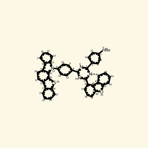 CCCCc1ccc(-c2nc(-c3ccc(-n4c5ccccc5c5ccc6c7ccccc7sc6c54)cc3)nc(-c3cccc4oc5ccccc5c34)n2)cc1